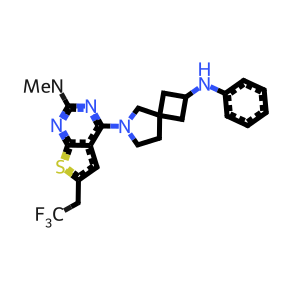 CNc1nc(N2CCC3(CC(Nc4ccccc4)C3)C2)c2cc(CC(F)(F)F)sc2n1